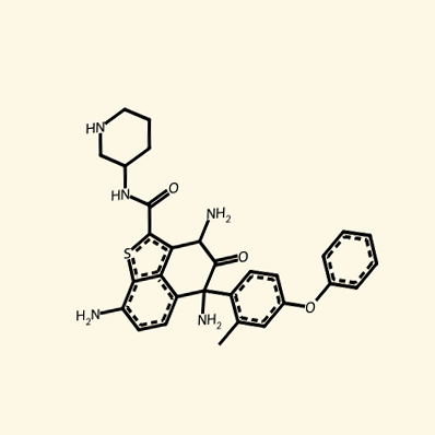 Cc1cc(Oc2ccccc2)ccc1C1(N)C(=O)C(N)c2c(C(=O)NC3CCCNC3)sc3c(N)ccc1c23